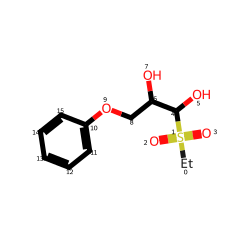 CCS(=O)(=O)C(O)C(O)COc1ccccc1